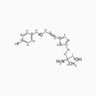 CC(N)(CO)CCc1ccc(C#CCOCc2ccc(F)cc2)s1